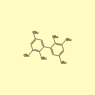 CC(C)(C)c1cc(-c2cc(C(C)(C)C)cc(C(C)(C)C)c2C(C)(C)C)c(C(C)(C)C)c(C(C)(C)C)c1